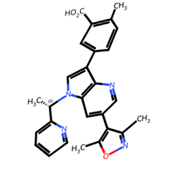 Cc1ccc(-c2cn([C@@H](C)c3ccccn3)c3cc(-c4c(C)noc4C)cnc23)cc1C(=O)O